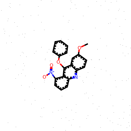 COc1ccc2nc3cccc([N+](=O)[O-])c3c(Oc3ccccc3)c2c1